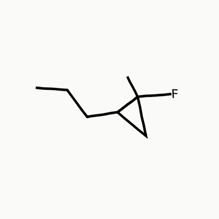 CCCC1CC1(C)F